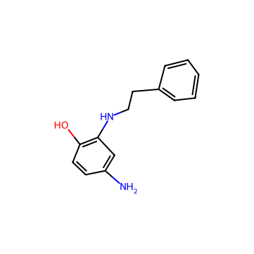 Nc1ccc(O)c(NCCc2ccccc2)c1